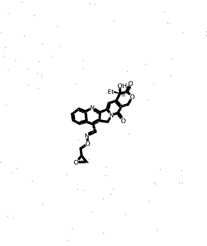 CC[C@@]1(O)C(=O)OCc2c1cc1n(c2=O)Cc2c-1nc1ccccc1c2C=NOCC1CO1